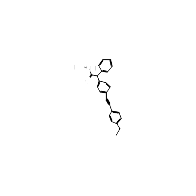 CCc1ccc(C#Cc2ccc(C(C(=O)NO)c3ccccc3)cc2)cc1